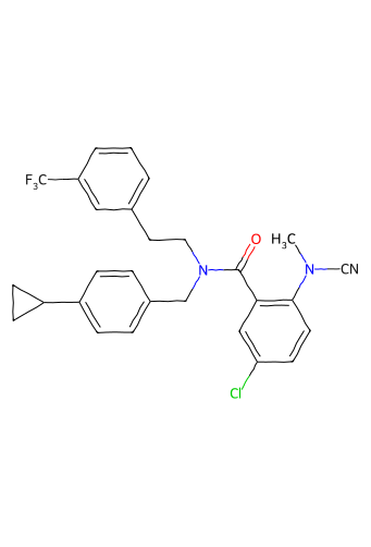 CN(C#N)c1ccc(Cl)cc1C(=O)N(CCc1cccc(C(F)(F)F)c1)Cc1ccc(C2CC2)cc1